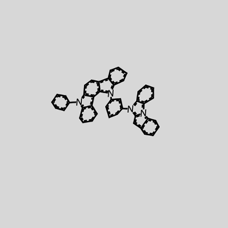 c1ccc(-n2c3ccccc3c3c2ccc2c4ccccc4n(-c4cccc(-n5c6ccccc6n6c7ccccc7cc56)c4)c23)cc1